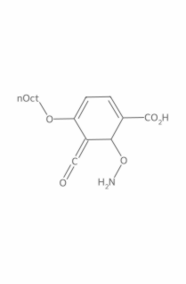 CCCCCCCCOC1=CC=C(C(=O)O)C(ON)C1=C=O